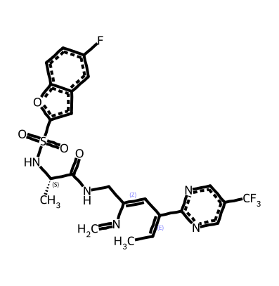 C=N/C(=C\C(=C/C)c1ncc(C(F)(F)F)cn1)CNC(=O)[C@H](C)NS(=O)(=O)c1cc2cc(F)ccc2o1